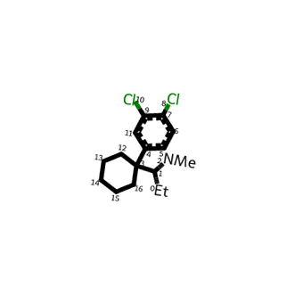 CCC(NC)C1(c2ccc(Cl)c(Cl)c2)CCCCC1